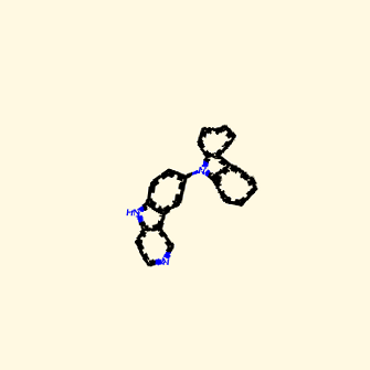 c1ccc2c(c1)c1ccccc1n2-c1ccc2[nH]c3ccncc3c2c1